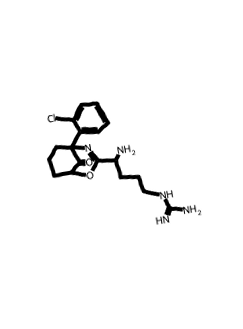 N=C(N)NCCCC(N)C1=NC2(c3ccccc3Cl)CCCC(O1)C2=O